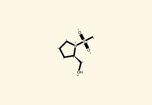 CS(=O)(=O)N1CCC[C@@H]1CO